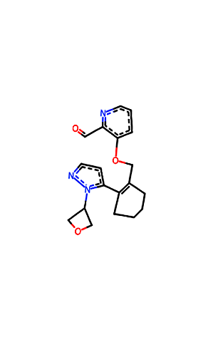 O=Cc1ncccc1OCC1=C(c2ccnn2C2COC2)CCCC1